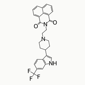 O=C1c2cccc3cccc(c23)C(=O)N1CCN1CCC(c2c[nH]c3cc(C(F)(F)F)ccc23)CC1